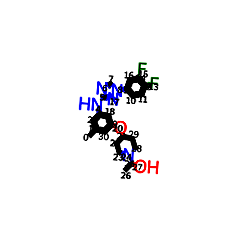 Cc1cc(Nc2ncn(-c3ccc(F)c(F)c3)n2)cc(OC2CCN(C(C)O)CC2)c1